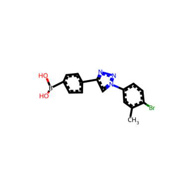 Cc1cc(-n2cc(-c3ccc(B(O)O)cc3)nn2)ccc1Br